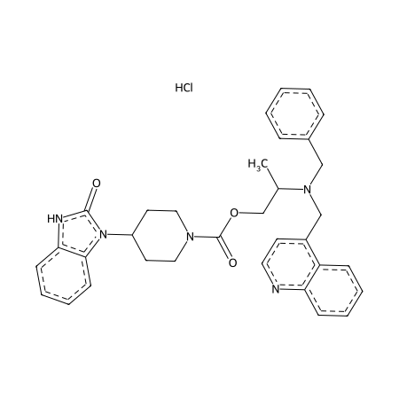 CC(COC(=O)N1CCC(n2c(=O)[nH]c3ccccc32)CC1)N(Cc1ccccc1)Cc1ccnc2ccccc12.Cl